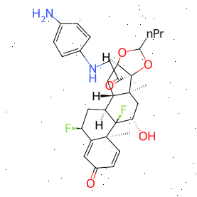 CCCC1O[C@@H]2C[C@H]3[C@@H]4C[C@H](F)C5=CC(=O)C=C[C@]5(C)[C@@]4(F)[C@@H](O)C[C@]3(C)[C@]2(C(=O)CNc2ccc(N)cc2)O1